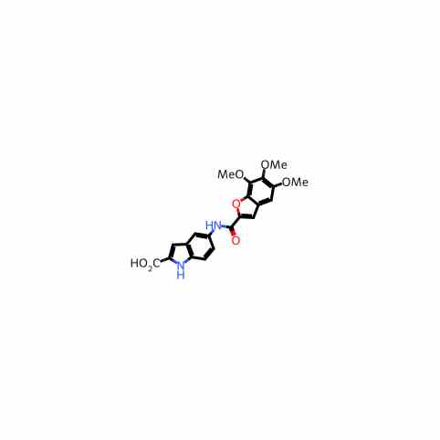 COc1cc2cc(C(=O)Nc3ccc4[nH]c(C(=O)O)cc4c3)oc2c(OC)c1OC